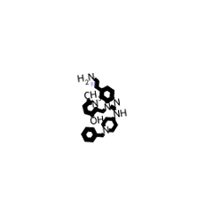 Cc1ccc(O)c(Cn2c(NC3CCN(Cc4ccccc4)CC3)nc3ccc(/C=C/N)cc32)n1